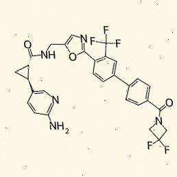 Nc1ccc([C@H]2C[C@@H]2C(=O)NCc2cnc(-c3ccc(-c4ccc(C(=O)N5CC(F)(F)C5)cc4)cc3C(F)(F)F)o2)cn1